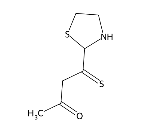 CC(=O)CC(=S)C1NCCS1